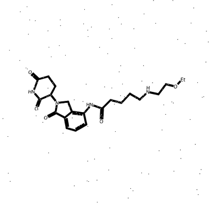 CCOCCNCCCCC(=O)Nc1cccc2c1CN(C1CCC(=O)NC1=O)C2=O